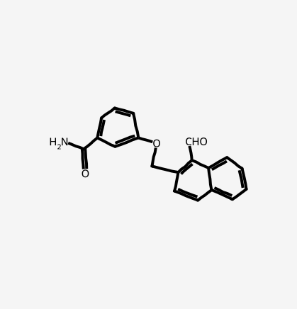 NC(=O)c1cccc(OCc2ccc3ccccc3c2C=O)c1